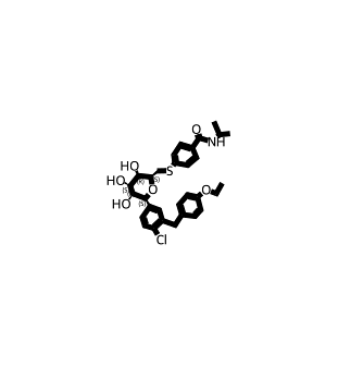 CCOc1ccc(Cc2cc([C@@H]3O[C@H](CSc4ccc(C(=O)NC(C)C)cc4)[C@H](O)[C@@H](O)[C@H]3O)ccc2Cl)cc1